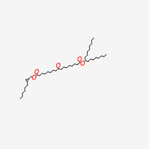 CCCCCCCCC(CCCCCCCC)OC(=O)CCCCCCCC(=O)CCCCCCCC(=O)OCC1CC1CCCCCC